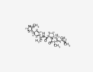 C/N=C(C)\C=C(/C)C(C)C(=O)N1CCCC1C(=O)NC(C)c1ccc(-c2scnc2C)cc1